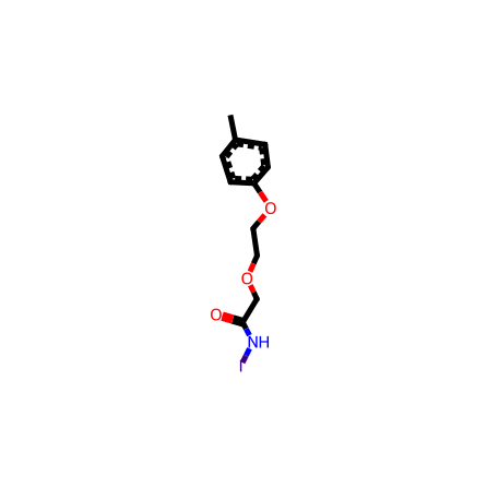 Cc1ccc(OCCOCC(=O)NI)cc1